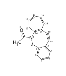 CC(=O)N1Cc2ccccc2C#CC2=C1CC=CC=C2